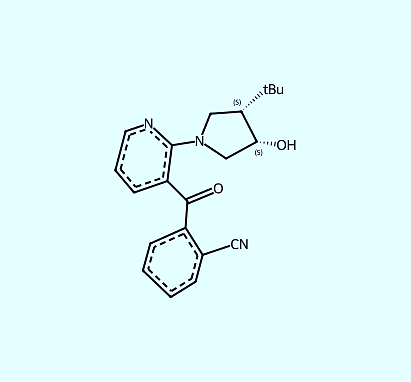 CC(C)(C)[C@H]1CN(c2ncccc2C(=O)c2ccccc2C#N)C[C@H]1O